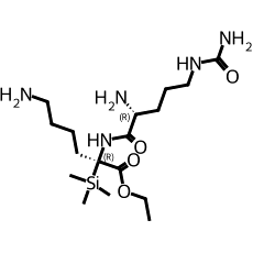 CCOC(=O)[C@](CCCCN)(NC(=O)[C@H](N)CCCNC(N)=O)[Si](C)(C)C